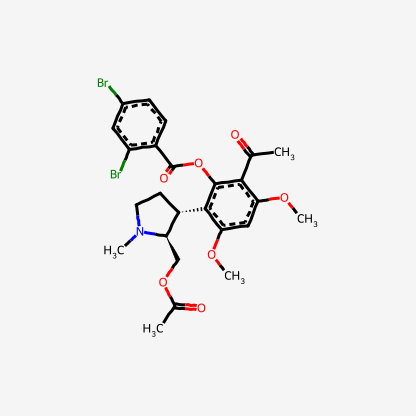 COc1cc(OC)c([C@H]2CCN(C)[C@@H]2COC(C)=O)c(OC(=O)c2ccc(Br)cc2Br)c1C(C)=O